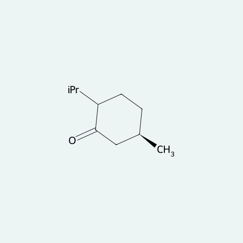 CC(C)C1CC[C@@H](C)CC1=O